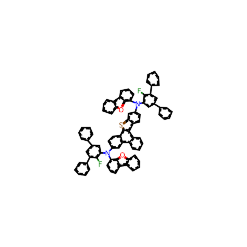 Fc1c(-c2ccccc2)cc(-c2ccccc2)cc1N(c1ccc2c(c1)sc1c3ccc(N(c4cc(-c5ccccc5)cc(-c5ccccc5)c4F)c4cccc5c4oc4ccccc45)cc3c3ccccc3c21)c1cccc2c1oc1ccccc12